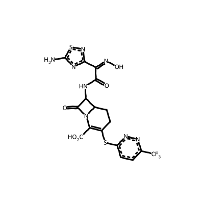 Nc1nc(/C(=N/O)C(=O)NC2C(=O)N3C(C(=O)O)=C(Sc4ccc(C(F)(F)F)nn4)CCC23)ns1